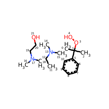 CC(C)(OO)c1ccccc1.CCN(C)C.CN(C)CCO